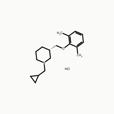 Cc1cccc(C)c1OC[C@H]1CCCN(CC2CC2)C1.Cl